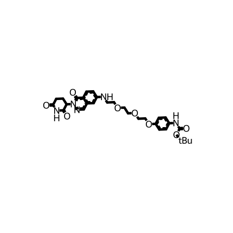 CC(C)(C)OC(=O)Nc1ccc(OCCOCCOCCNc2ccc3c(=O)n(C4CCC(=O)NC4=O)ncc3c2)cc1